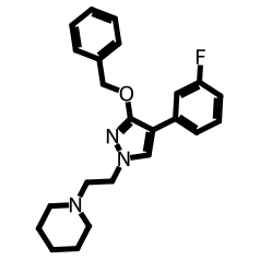 Fc1cccc(-c2cn(CCN3CCCCC3)nc2OCc2ccccc2)c1